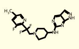 Cc1cnc(C(F)(F)CN2CCC(Nc3ncc4cn[nH]c4n3)CC2)c(F)c1